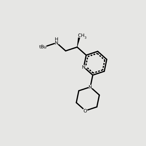 C[C@H](CNC(C)(C)C)c1cccc(N2CCOCC2)n1